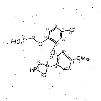 COc1ccc(P2SPS2)cc1.O=C(O)COc1ccc(Cl)cc1Cl